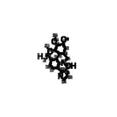 COc1cc(C=NO)c(-c2cc(-c3nccs3)ccc2N)c(OC)c1OC